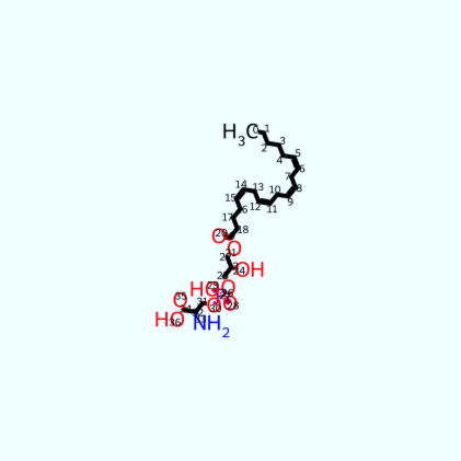 CCCCC/C=C\C/C=C\C/C=C\C/C=C\CCCC(=O)OCC(O)COP(=O)(O)OCC(N)C(=O)O